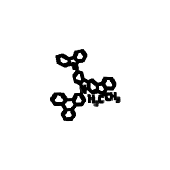 CC1(C)c2ccccc2-c2cc3c4cc(-n5c6ccccc6c6ccccc65)ccc4n(-c4ccc5c6ccccc6c6ccccc6c5c4)c3cc21